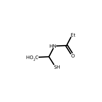 CCC(=O)NC(S)C(=O)O